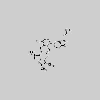 CNC(=O)c1nn(C)c(C)c1CCOc1c(-c2ccc3ncc(CCN)n3c2)ccc(Cl)c1F